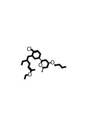 CCCCO[C@H]1C[C@@H](C)O[C@@H](C2CC=C(Cl)C(CC(CC)C/C=C(\C)OCC)C2)C1